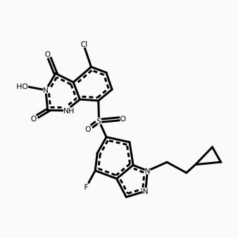 O=c1[nH]c2c(S(=O)(=O)c3cc(F)c4cnn(CCC5CC5)c4c3)ccc(Cl)c2c(=O)n1O